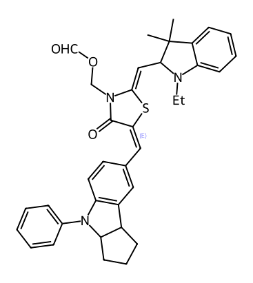 CCN1c2ccccc2C(C)(C)C1C=c1s/c(=C/c2ccc3c(c2)C2CCCC2N3c2ccccc2)c(=O)n1COC=O